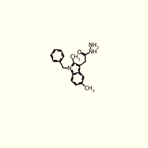 Cc1ccc2c(c1)c(CC(=O)NN)c(C)n2Cc1ccccc1